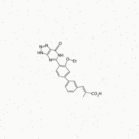 CCOc1cc(-c2cccc(/C=C(\C)C(=O)O)c2)ccc1-c1nc2[nH]nnc2c(=O)[nH]1